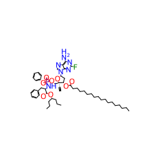 C#C[C@]1(CO[P@@](=O)(NC(Cc2ccccc2)C(=O)OC(CCC)CCC)Oc2ccccc2)O[C@@H](n2cnc3c(N)nc(F)nc32)C[C@@H]1OC(=O)CCCCCCCCCCCCCCCCC